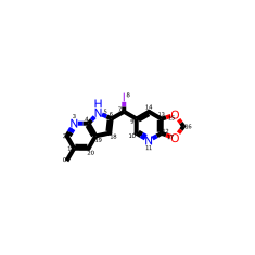 Cc1cnc2[nH]c(C(I)c3cnc4c(c3)OCO4)cc2c1